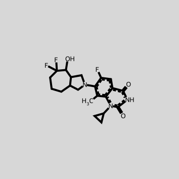 Cc1c(N2CC3CCCC(F)(F)C(O)C3C2)c(F)cc2c(=O)[nH]c(=O)n(C3CC3)c12